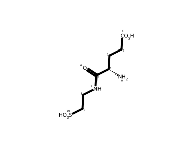 N[C@@H](CCC(=O)O)C(=O)NCCS(=O)(=O)O